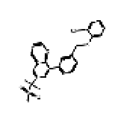 CC(C)(c1cc(-c2cccc(CSc3ccccc3Cl)c2)c2ncccc2c1)S(C)(=O)=O